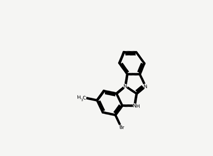 Cc1cc(Br)c2[nH]c3nc4ccccc4n3c2c1